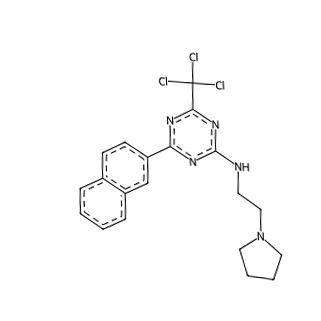 ClC(Cl)(Cl)c1nc(NCCN2CCCC2)nc(-c2ccc3ccccc3c2)n1